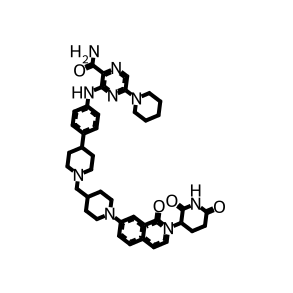 NC(=O)c1ncc(N2CCCCC2)nc1Nc1ccc(C2CCN(CC3CCN(c4ccc5ccn(C6CCC(=O)NC6=O)c(=O)c5c4)CC3)CC2)cc1